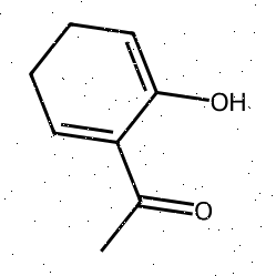 CC(=O)C1=CCCC=C1O